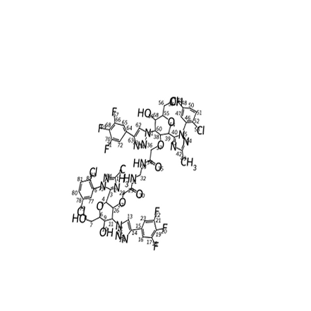 Cc1nc(C2OC(CO)C(O)C(n3cc(-c4cc(F)c(F)c(F)c4)nn3)C2OCC(=O)NCNC(=O)COC2C(c3nc(C)nn3-c3cc(Cl)ccc3Cl)OC(CO)C(O)C2n2cc(-c3cc(F)c(F)c(F)c3)nn2)n(-c2cc(Cl)ccc2Cl)n1